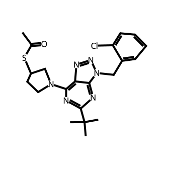 CC(=O)SC1CCN(c2nc(C(C)(C)C)nc3c2nnn3Cc2ccccc2Cl)C1